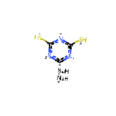 Sc1ncnc(S)n1.[NaH].[NaH]